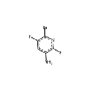 Nc1cc(F)c(Br)nc1F